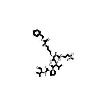 CC(C)[C@H](NC(=O)[C@H](CCCCNC(=O)OCc1ccccc1)NC(=O)OCCS(C)(=O)=O)C(=O)N1CCC[C@H]1C(=O)N[C@H](C=O)C(C)C